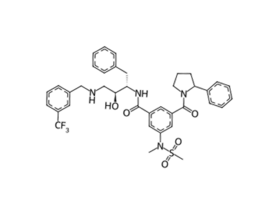 CN(c1cc(C(=O)N[C@@H](Cc2ccccc2)[C@@H](O)CNCc2cccc(C(F)(F)F)c2)cc(C(=O)N2CCCC2c2ccccc2)c1)S(C)(=O)=O